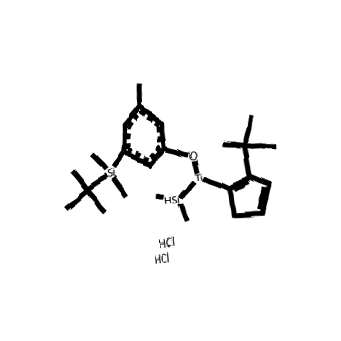 Cc1cc([O][Ti]([C]2=C(C(C)(C)C)C=CC2)[SiH](C)C)cc([Si](C)(C)C(C)(C)C)c1.Cl.Cl